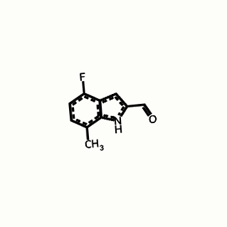 Cc1ccc(F)c2cc(C=O)[nH]c12